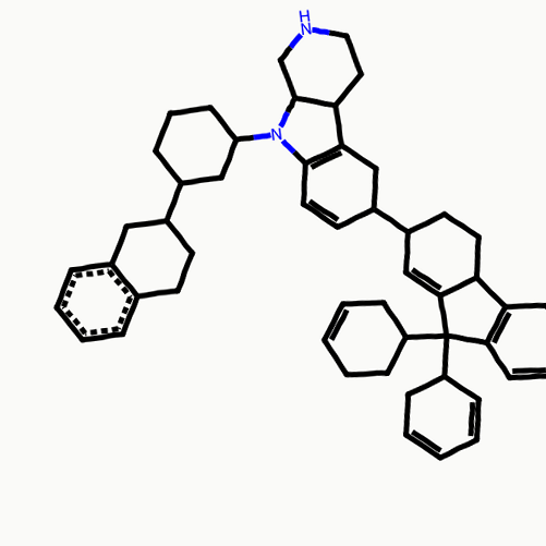 C1=CCC(C2(C3CC=CCC3)C3=CC(C4C=CC5=C(C4)C4CCNCC4N5C4CCCC(C5CCc6ccccc6C5)C4)CCC3C3=C2C=CCC3)C=C1